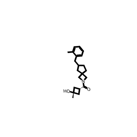 Cc1ccccc1CC1CCC2(C1)CN(C(=O)[C@H]1C[C@@](C)(O)C1)C2